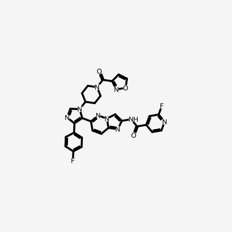 O=C(Nc1cn2nc(-c3c(-c4ccc(F)cc4)ncn3C3CCN(C(=O)c4ccon4)CC3)ccc2n1)c1ccnc(F)c1